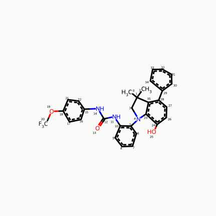 CC1(C)CN(c2ccccc2NC(=O)Nc2ccc(OC(F)(F)F)cc2)c2c(O)ccc(-c3ccccc3)c21